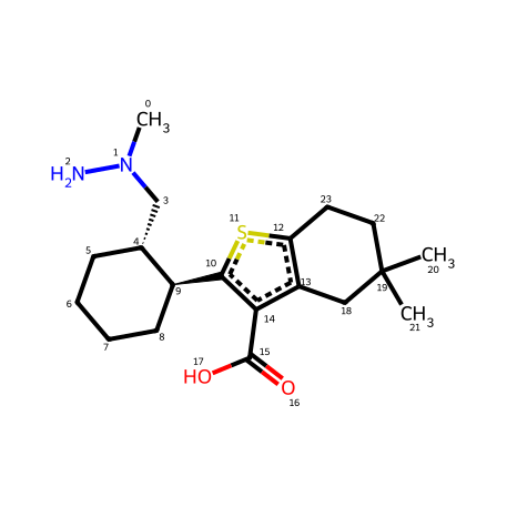 CN(N)C[C@H]1CCCC[C@@H]1c1sc2c(c1C(=O)O)CC(C)(C)CC2